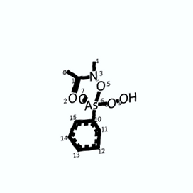 CC(=O)N(C)O[As](=O)(OO)c1ccccc1